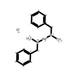 C[N](Cc1ccccc1)[Nd+][N](C)Cc1ccccc1.[Cl-]